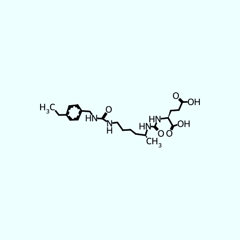 CCc1ccc(CNC(=O)NCCCC[C@@H](C)NC(=O)N[C@@H](CCC(=O)O)C(=O)O)cc1